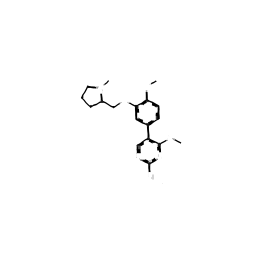 CNc1nc(N)ncc1-c1ccc(OC)c(OCC2CCCN2C)c1